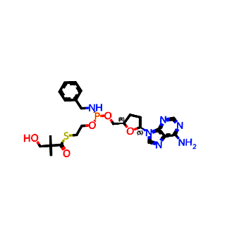 CC(C)(CO)C(=O)SCCOP(NCc1ccccc1)OC[C@H]1CC[C@@H](n2cnc3c(N)ncnc32)O1